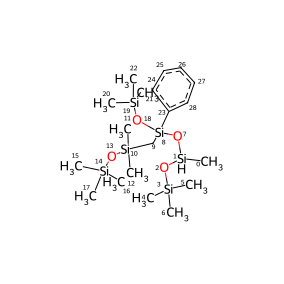 C[SiH](O[Si](C)(C)C)O[Si](C[Si](C)(C)O[Si](C)(C)C)(O[Si](C)(C)C)c1ccccc1